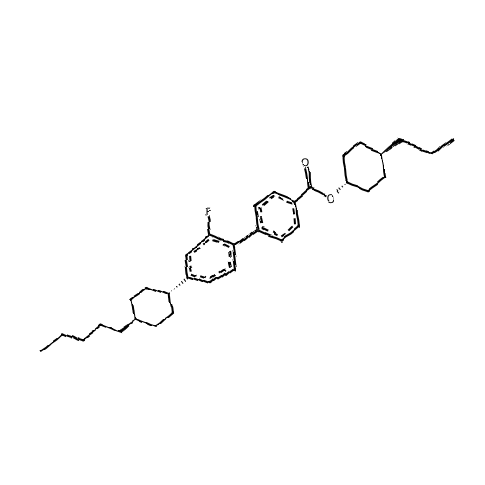 CCCCC[C@H]1CC[C@H](c2ccc(-c3ccc(C(=O)O[C@H]4CC[C@H](CCC)CC4)cc3)c(F)c2)CC1